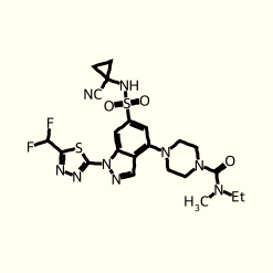 CCN(C)C(=O)N1CCN(c2cc(S(=O)(=O)NC3(C#N)CC3)cc3c2cnn3-c2nnc(C(F)F)s2)CC1